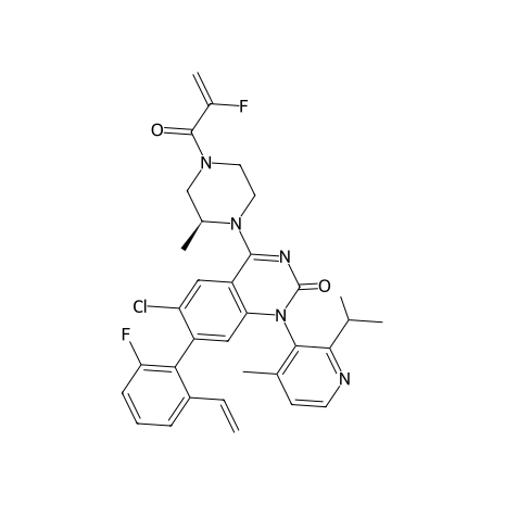 C=Cc1cccc(F)c1-c1cc2c(cc1Cl)c(N1CCN(C(=O)C(=C)F)C[C@@H]1C)nc(=O)n2-c1c(C)ccnc1C(C)C